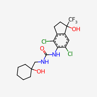 O=C(NCC1(O)CCCCC1)Nc1c(Cl)cc2c(c1Cl)CCC2(O)C(F)(F)F